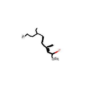 COC(=O)/C=C(C)/C=C/C(C)CCC(C)C